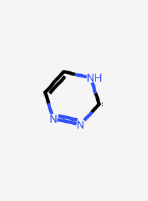 [C]1N=NC=CN1